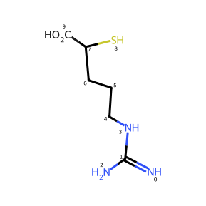 N=C(N)NCCCC(S)C(=O)O